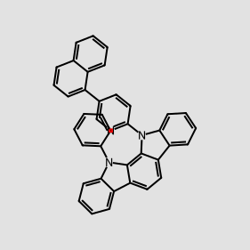 c1ccc(-n2c3ccccc3c3ccc4c5ccccc5n(-c5ccc(-c6cccc7ccccc67)cn5)c4c32)cc1